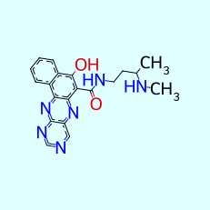 CNC(C)CCNC(=O)c1c(O)c2ccccc2c2nc3ncncc3nc12